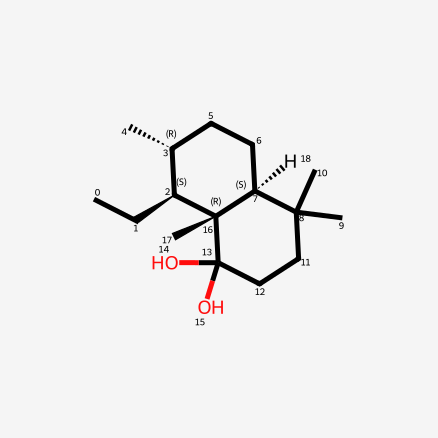 CC[C@H]1[C@H](C)CC[C@H]2C(C)(C)CCC(O)(O)[C@]12C